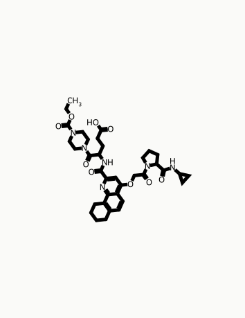 CCOC(=O)N1CCN(C(=O)C(CCC(=O)O)NC(=O)c2cc(OCC(=O)N3CCCC3C(=O)NC3CC3)c3ccc4c(c3n2)CCCC4)CC1